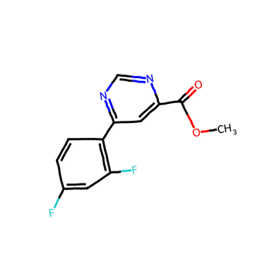 COC(=O)c1cc(-c2ccc(F)cc2F)ncn1